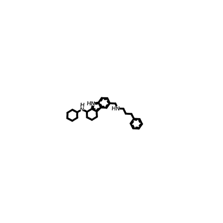 c1ccc(CCCNCc2ccc3[nH]c4c(c3c2)CCCC4NC2CCCCC2)cc1